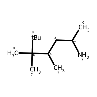 CC(N)CC(C)C(C)(C)C(C)(C)C